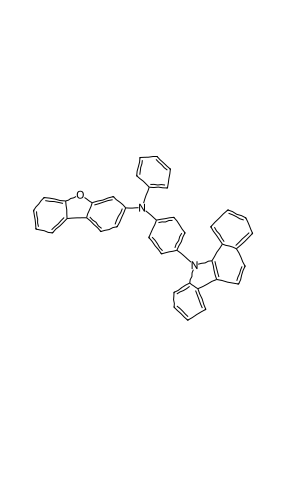 c1ccc(N(c2ccc(-n3c4ccccc4c4ccc5ccccc5c43)cc2)c2ccc3c(c2)oc2ccccc23)cc1